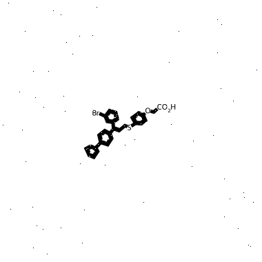 O=C(O)COc1ccc(SCC=C(c2ccc(-c3ccccc3)cc2)c2cccc(Br)c2)cc1